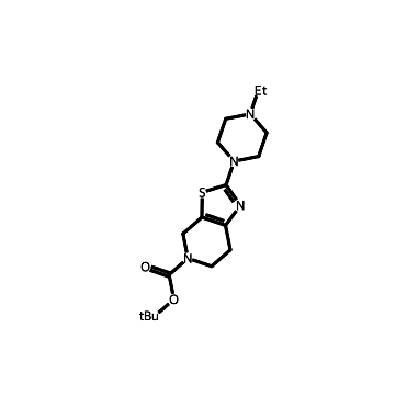 CCN1CCN(c2nc3c(s2)CN(C(=O)OC(C)(C)C)CC3)CC1